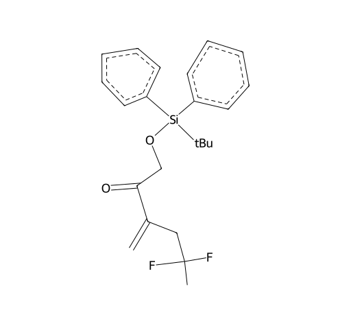 C=C(CC(C)(F)F)C(=O)CO[Si](c1ccccc1)(c1ccccc1)C(C)(C)C